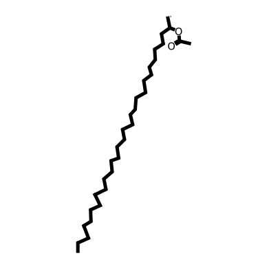 [CH2]C(CCCCCCCCCCCCCCCCCCCCCCCCCCCC)OC(C)=O